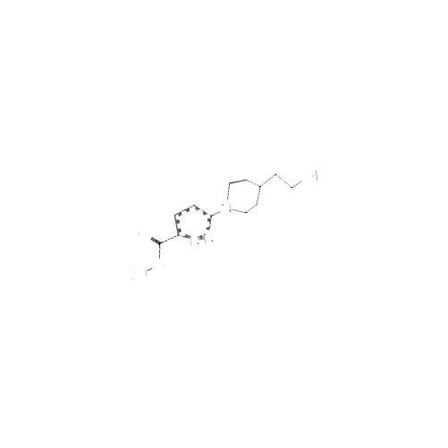 CC(C)(C)OC(=O)c1ccc(N2CCC(CCO)CC2)nn1